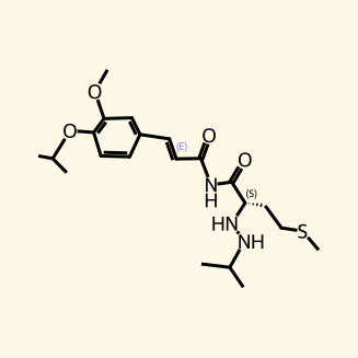 COc1cc(/C=C/C(=O)NC(=O)[C@H](CCSC)NNC(C)C)ccc1OC(C)C